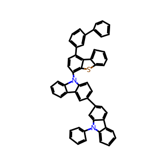 c1ccc(-c2cccc(-c3ccc(-n4c5ccccc5c5cc(-c6ccc7c8ccccc8n(-c8ccccc8)c7c6)ccc54)c4sc5ccccc5c34)c2)cc1